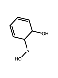 OSC1C=CC=CC1O